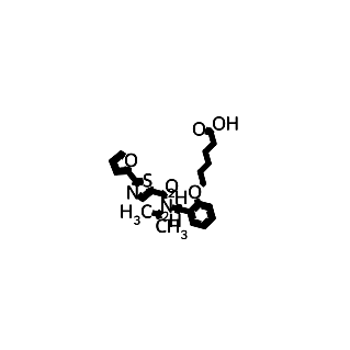 [2H]C([2H])(c1ccccc1OCCCCCC(=O)O)N(C(=O)c1cnc(-c2ccco2)s1)C(C)C